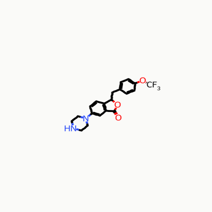 O=C1OC(Cc2ccc(OC(F)(F)F)cc2)c2ccc(N3CCNCC3)cc21